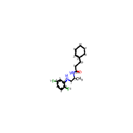 C[C@@H](CNc1cc(F)ccc1F)NC(=O)[CH]CC1CCCCC1